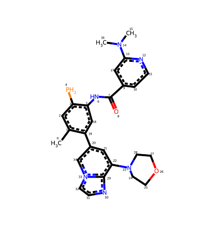 Cc1cc(P)c(NC(=O)c2ccnc(N(C)C)c2)cc1-c1cc(N2CCOCC2)c2nccn2c1